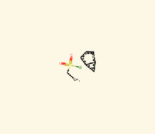 CCS(=O)(=O)Cl.c1cc2cc-2c1